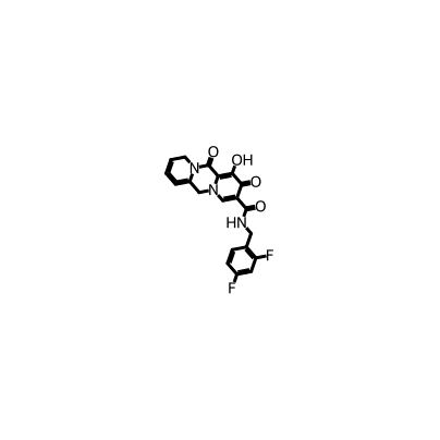 O=C(NCc1ccc(F)cc1F)c1cn2c(c(O)c1=O)C(=O)N1CC=C=C=C1C2